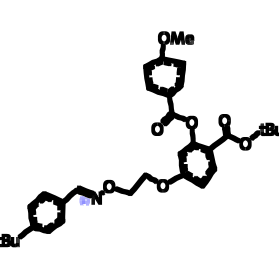 COc1ccc(C(=O)Oc2cc(OCCO/N=C/c3ccc(C(C)(C)C)cc3)ccc2C(=O)OC(C)(C)C)cc1